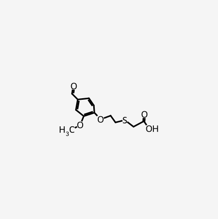 COc1cc(C=O)ccc1OCCSCC(=O)O